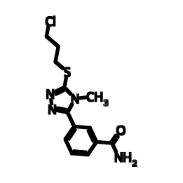 Cn1c(SCCCCl)nnc1-c1cccc(C(N)=O)c1